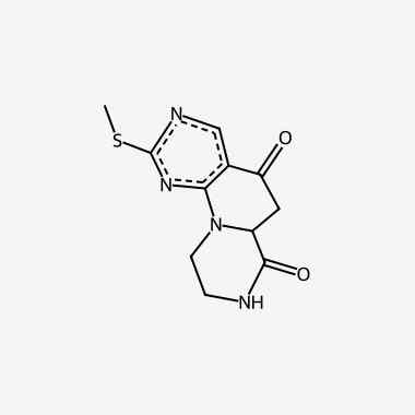 CSc1ncc2c(n1)N1CCNC(=O)C1CC2=O